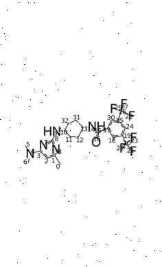 Cc1cc(N(C)C)nc(N[C@H]2CC[C@@H](NC(=O)c3cc(C(F)(F)F)cc(C(F)(F)F)c3)CC2)n1